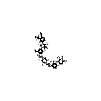 CCc1cc(N2C(=S)N(c3cnc(C#N)c(C(F)(F)F)c3)C(=O)C2(C)C)ccc1O[C@@H](C)CN1C[C@@H](C)N(CC(=O)Nc2cccc(NC3CCC(=O)NC3=O)c2)[C@@H](C)C1